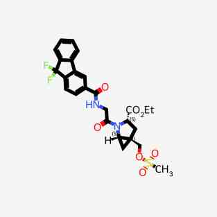 CCOC(=O)[C@@H]1C[C@]2(COS(C)(=O)=O)C[C@@H]2N1C(=O)CNC(=O)c1ccc2c(c1)-c1ccccc1C2(F)F